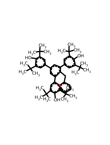 CC(C)(C)c1cc(-c2cc(-c3cc(C(C)(C)C)c(O)c(C(C)(C)C)c3)c(Cc3ccccc3)c(-c3cc(C(C)(C)C)c(O)c(C(C)(C)C)c3)c2)cc(C(C)(C)C)c1O